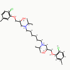 Cc1ccc(Cl)c(OCC(O)CN(CCCCCCN(CC(O)COc2cc(C)ccc2Cl)C(C)C)C(C)C)c1